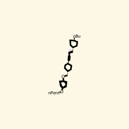 CCCCCOc1ccc(OC[C@H]2CC[C@H](C#C/C=C/[C@H]3CC[C@H](CCCC)CC3)CC2)cc1